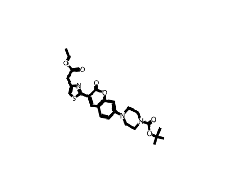 CCOC(=O)Cc1csc(-c2cc3ccc(N4CCN(C(=O)OC(C)(C)C)CC4)cc3oc2=O)n1